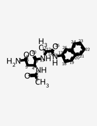 CC(=O)NC(CC(N)=O)C(=O)N[C@@H](C)C(=O)Nc1ccc2ccccc2c1